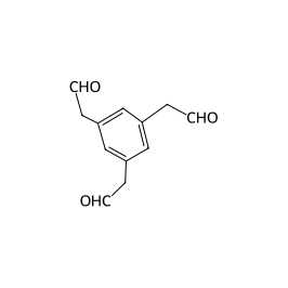 O=CCc1cc(CC=O)cc(CC=O)c1